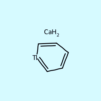 C1=C[CH]=[Tl][CH]=C1.[CaH2]